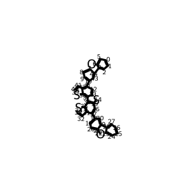 c1ccc2c(c1)oc1ccc(-c3cc4sc5cc(-c6ccc7oc8ccccc8c7c6)c6ccsc6c5c4c4sccc34)cc12